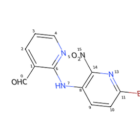 O=Cc1cccnc1Nc1ccc(Br)nc1[N+](=O)[O-]